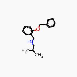 CC(C)CNCc1ccccc1OCc1ccccc1